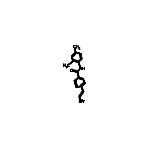 CCC/C=C/c1ccc(C(=O)Nc2ccc(C)cc2C)cc1